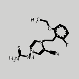 CCOc1cccc(F)c1CCN1C=CN(NC(N)=S)C=C1C#N